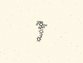 COC(=O)c1ccc(O)c(NC(=O)[C@H]2CC[C@H](COCc3ccccc3)CC2)c1